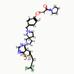 O=C(COc1ccc(CN2CCC3(CCN(c4ncnc5sc(CC(F)F)cc45)C3)C2)cc1)N1CCCC1